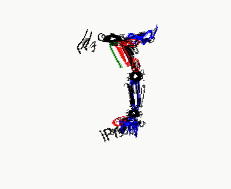 Cc1ccc(C2(Cn3cncn3)OCC(COc3ccc(N4CCN(c5ccc(-n6cnn(CC(C)C)c6=O)cc5)CC4)cc3)O2)c(F)c1